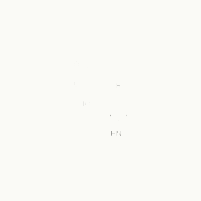 CNC(=O)OCC(O)c1c(Br)ccc2c1OCO2